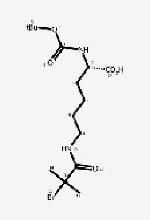 CC(C)(C)OC(=O)N[C@@H](CCCCNC(=O)C(C)(C)Br)C(=O)O